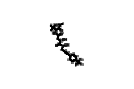 CNC(=O)[C@@H](NC(=O)C[C@H](O)C(=O)N(O)CC#Cc1ccc(C(F)(F)F)cc1)C(C)(C)C